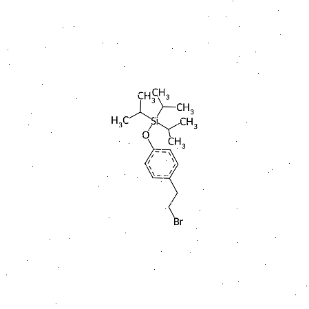 CC(C)[Si](Oc1ccc(CCBr)cc1)(C(C)C)C(C)C